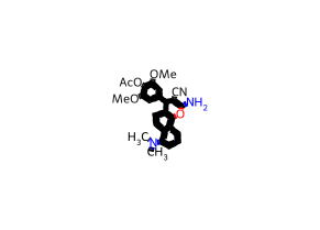 COc1cc(C2C(C#N)=C(N)Oc3c2ccc2c(N(C)C)cccc32)cc(OC)c1OC(C)=O